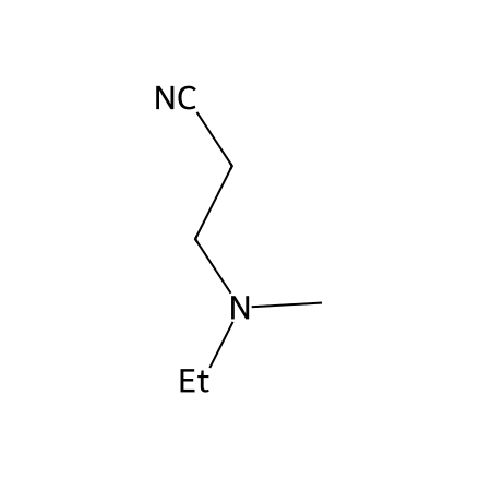 [CH2]CN(C)CCC#N